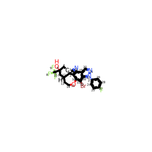 N#C[C@]12CC[C@@](O)(C(F)(F)F)C[C@@H]1CCOc1c2cc2cnn(-c3ccc(F)cc3)c2c1Br